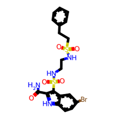 NC(=O)c1[nH]c2ccc(Br)cc2c1S(=O)(=O)NCCNS(=O)(=O)CCc1ccccc1